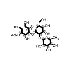 CC(=O)N[C@@H](CC(C)(C)C)[C@@H](O)[C@H](O[C@@H]1O[C@H](CO)[C@H](O)[C@H](O)[C@H]1O[C@@H]1O[C@@H](C)[C@@H](O)[C@@H](O)[C@@H]1O)[C@H](O)CO